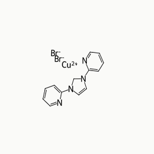 C1=CN(c2ccccn2)CN1c1ccccn1.[Br-].[Br-].[Cu+2]